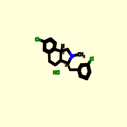 CN1C[C@@H]2c3ccc(Cl)cc3CCC2[C@H]1Cc1cccc(Cl)c1.Cl